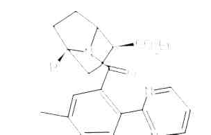 CCOC(=O)[C@H]1CC[C@@H]2CCC1N2C(=O)c1cc(C)ccc1-c1ncccn1